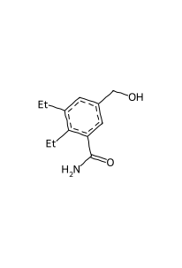 CCc1cc(CO)cc(C(N)=O)c1CC